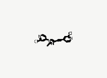 Cc1nc(C#Cc2ccnc(Cl)c2)cn1-c1ccnc(Cl)c1